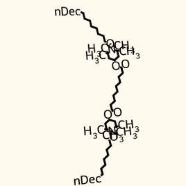 CCCCCCCCCCCCCCCCCCON1C(C)(C)CC(OC(=O)CCCCCCCCC(=O)OC2CC(C)(C)N(OCCCCCCCCCCCCCCCCCC)C(C)(C)C2)CC1(C)C